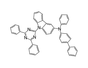 c1ccc(-c2ccc(N(c3ccccc3)c3ccc4c(c3)c3ccccc3n4-c3nc(-c4ccccc4)nc(-c4ccccc4)n3)cc2)cc1